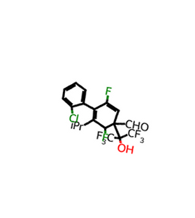 CC(C)C1=C(c2ccccc2Cl)C(F)=CC(C=O)(C(O)(C(F)(F)F)C(F)(F)F)C1F